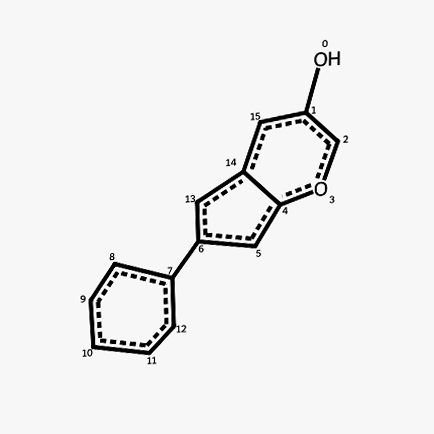 Oc1coc2cc(-c3ccccc3)cc-2c1